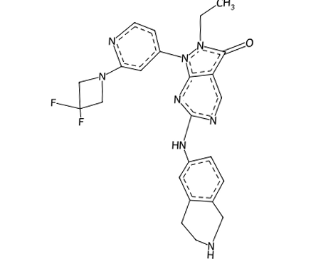 CCn1c(=O)c2cnc(Nc3ccc4c(c3)CCNC4)nc2n1-c1ccnc(N2CC(F)(F)C2)c1